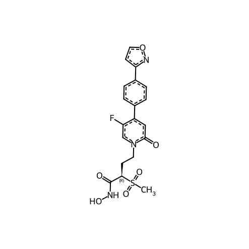 CS(=O)(=O)[C@H](CCn1cc(F)c(-c2ccc(-c3ccon3)cc2)cc1=O)C(=O)NO